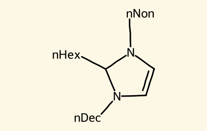 CCCCCCCCCCN1C=CN(CCCCCCCCC)C1CCCCCC